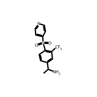 CC(N)c1ccc(S(=O)(=O)c2ccncc2)c(C(F)(F)F)c1